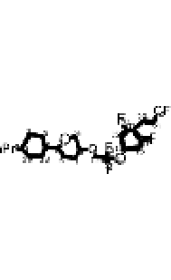 CCCC1CCC(C2CCC(OCC(F)(F)Oc3cc(F)c(/C=C/C(F)(F)F)c(F)c3)CO2)CC1